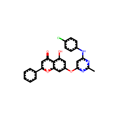 Cc1nc(Nc2ccc(Cl)cc2)cc(Oc2cc(O)c3c(=O)cc(-c4ccccc4)oc3c2)n1